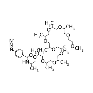 COCCOCC(C)OCC(C)OCC(C)OCC(C)OCC(C)OCC(C)OCC(C)OCC(C)OCC(C)NC(=O)c1ccc(N=[N+]=[N-])cc1